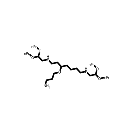 CCCOC(CPCCCCC(CCPCC(OCCC)OCCC)OCCCN)OCCC